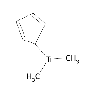 [CH3][Ti]([CH3])[CH]1C=CC=C1